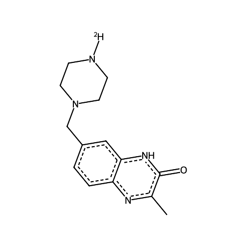 [2H]N1CCN(Cc2ccc3nc(C)c(=O)[nH]c3c2)CC1